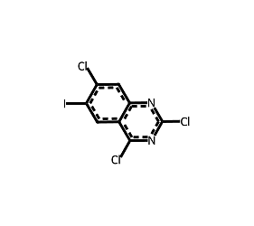 Clc1nc(Cl)c2cc(I)c(Cl)cc2n1